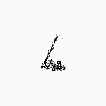 CC[C@H](C)[C@@H]([C@@H](CC(=O)N1CCC[C@H]1C(OC)[C@@H](C)C(=O)N[C@@H](Cc1ccccc1)c1nccs1)OC)N(C)C(=O)[C@@H](NC(=O)C(C(C)C)N(C)C(=O)CCOCCOCCOCCOCCOCCOCCN)C(C)C